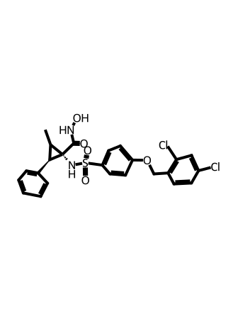 CC1[C@H](c2ccccc2)[C@]1(NS(=O)(=O)c1ccc(OCc2ccc(Cl)cc2Cl)cc1)C(=O)NO